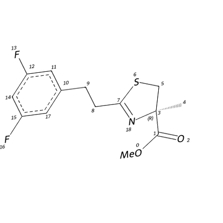 COC(=O)[C@]1(C)CSC(CCc2cc(F)cc(F)c2)=N1